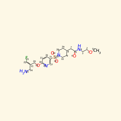 COCCNC(=O)CC1CCN(S(=O)(=O)c2ccc(OC/C(=C\F)CN)nc2)CC1